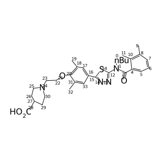 CCCCN(C(=O)c1cccc(C)c1C)c1nnc(-c2cc(C)c(OCCN3CCC(C(=O)O)CC3)c(C)c2)s1